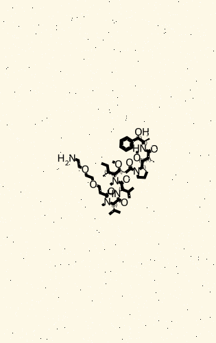 CC[C@H](C)[C@@H]([C@@H](CC(=O)N1CCC[C@H]1[C@H](OC)[C@@H](C)C(=O)N[C@H](C)[C@@H](O)c1ccccc1)OC)N(C)C(=O)[C@@H](NC(=O)[C@H](C(C)C)N(C)C(=O)CCOCCOCCN)C(C)C